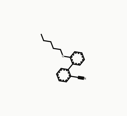 CCCCCOc1ccccc1-c1ccccc1C#N